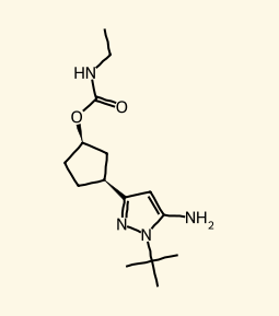 CCNC(=O)O[C@@H]1CC[C@H](c2cc(N)n(C(C)(C)C)n2)C1